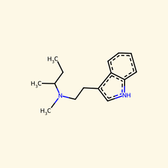 CCC(C)N(C)CCc1c[nH]c2ccccc12